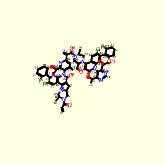 C=CC(=O)N1CC2Cc3c(c4cc(F)c(-c5c(O)cccc5F)nc4n(-c4c(C)cc(C(=C)C(=O)N5CC6COc7c(c8cc(Cl)c(-c9c(O)cccc9F)c(F)c8n(-c8c(C(C)C)ncnc8C(C)C)c7=O)N6CC5C)nc4C(C)C)c3=O)N2CC1C